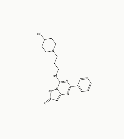 O=c1cc2nc(-c3ccccc3)nc(NCCCN3CCC(O)CC3)n2[nH]1